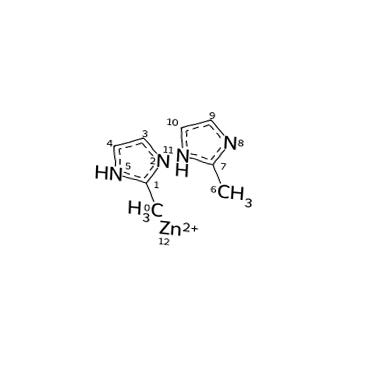 Cc1ncc[nH]1.Cc1ncc[nH]1.[Zn+2]